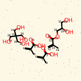 C=C(C)C(=O)O.C=C(C)C(=O)O.C=C(C)C(=O)OCC(O)CO.OCC(CO)(CO)CO